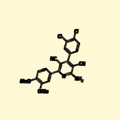 COc1ccc(-c2nc(N)c(C#N)c(-c3ccc(Cl)c(Cl)c3)c2C#N)cc1OC